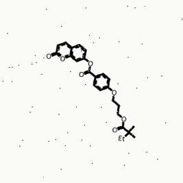 CCC(C)(C)C(=O)OCCCOc1ccc(C(=O)Oc2ccc3ccc(=O)oc3c2)cc1